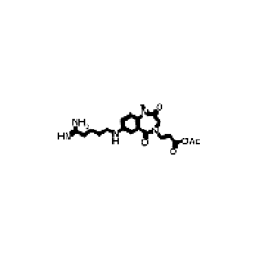 CC(=O)OC(=O)CCN1CC(=O)N(C)c2ccc(NCCCCC(=N)N)cc2C1=O